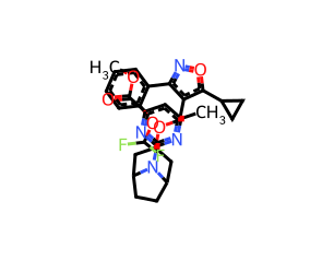 COC(=O)c1cc(C)nc(N2C3CCC2CC(OCc2c(-c4ccccc4OC(F)F)noc2C2CC2)C3)n1